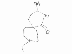 O=C1NC(O)CC12CCN(I)CC2